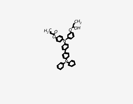 C=CC(=O)Oc1ccc(N(c2ccc(-c3ccc(N(c4ccccc4)c4ccccc4)cc3)cc2)c2cccc(OC(O)C=C)c2)cc1